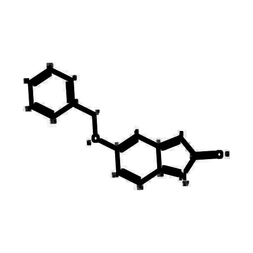 O=C1C=c2cc(OCc3ccccc3)ccc2=N1